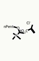 C=C(C)C(=O)O.CCCCCOC(C)[N+](C)(C)C.[Cl-]